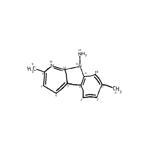 Cc1ccc2c3ccc(C)nc3n(N)c2c1